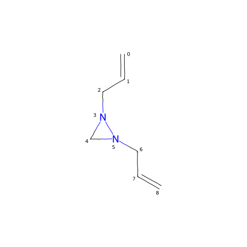 C=CCN1CN1CC=C